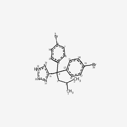 CC(C)CC(c1ccc(Br)cc1)(c1ccc(Br)cc1)c1nn[nH]n1